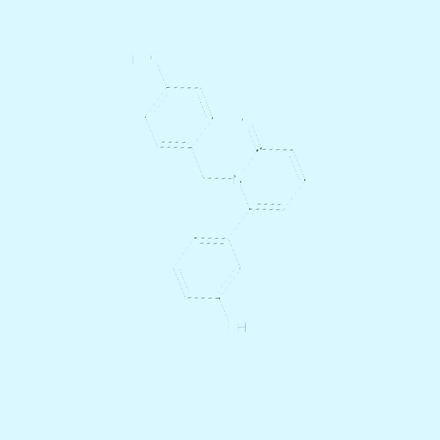 Cc1ccc(Cn2c(-c3cccc(C)c3)cccc2=O)cc1